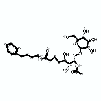 CC(=O)N[C@@H](CO[C@H]1OC(CO)[C@H](O)C(O)[C@@H]1O)[C@H](O)[C@H](O)CCCC(=O)NCCCCc1ccccc1